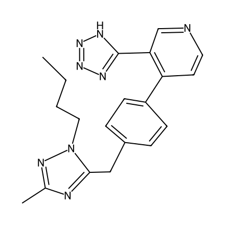 CCCCn1nc(C)nc1Cc1ccc(-c2ccncc2-c2nnn[nH]2)cc1